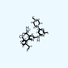 Cc1nc(Nc2nc(-c3c(CF)csc3Cl)c(C(N)=O)s2)cc(N2CCN(C)CC2)n1